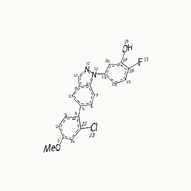 COc1ccc(-c2ccc3c(cnn3-c3ccc(F)c(O)c3)c2)c(Cl)c1